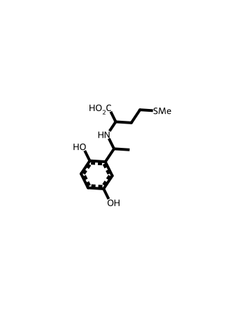 CSCCC(NC(C)c1cc(O)ccc1O)C(=O)O